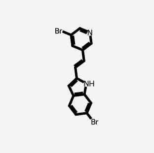 Brc1cncc(C=Cc2cc3ccc(Br)cc3[nH]2)c1